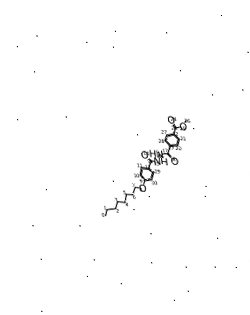 CCCCCCCCOc1ccc(C(=O)NNC(=O)c2ccc(C(=O)OC)cc2)cc1